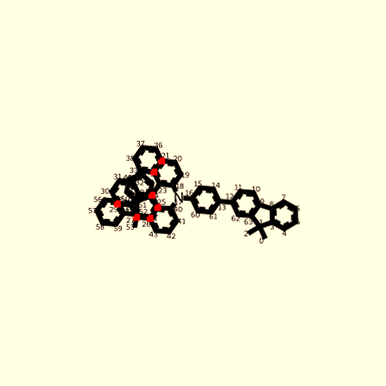 CC1(C)c2ccccc2-c2ccc(-c3ccc(N(c4ccccc4-c4cccc5cccc(-c6ccccc6)c45)c4cccc5c4-c4ccccc4C5(C)c4ccccc4)cc3)cc21